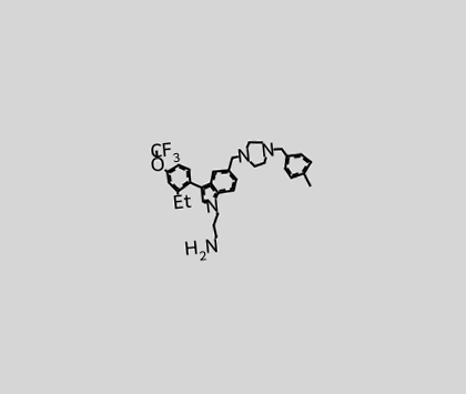 CCc1cc(OC(F)(F)F)ccc1-c1cn(CCCN)c2ccc(CN3CCN(Cc4ccc(C)cc4)CC3)cc12